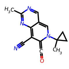 Cc1ncc2c(n1)=C(C#N)C(=C=O)N(C1(C)CC1)C=2